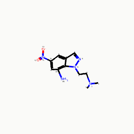 CN(C)CCn1ncc2cc([N+](=O)[O-])cc(N)c21